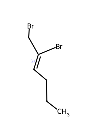 CCC/C=C(\Br)CBr